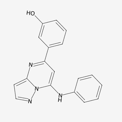 Oc1cccc(-c2cc(Nc3ccccc3)n3nccc3n2)c1